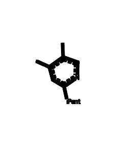 CCCC(C)c1cc(C)c(C)cn1